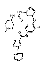 CN1CCC(NC(=O)Nc2cc(Oc3ccc(NC(=O)c4cn(-c5cccnc5)nn4)cc3F)ccn2)CC1